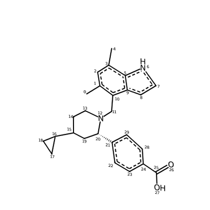 Cc1cc(C)c2[nH]ccc2c1CN1CCC(C2CC2)C[C@H]1c1ccc(C(=O)O)cc1